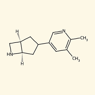 Cc1cc(C2C[C@@H]3CN[C@@H]3C2)cnc1C